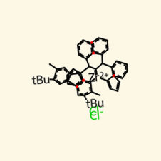 Cc1cc2c(cc1C(C)(C)C)-c1cc(C(C)(C)C)c(C)[c]([Zr+2]([C]3=CC=CC3)=[C](C(c3ccccc3)c3ccccc3)C(c3ccccc3)c3ccccc3)c1C2.[Cl-].[Cl-]